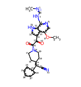 C/N=C\Nc1ncc(OC)c2c(C(=O)C(=O)N3CCC(=C(C#N)c4ccccc4)CC3)c[nH]c12